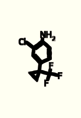 Nc1ccc(C2(C(F)(F)F)CC2)cc1Cl